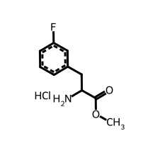 COC(=O)C(N)Cc1cccc(F)c1.Cl